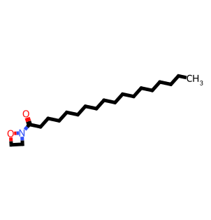 CCCCCCCCCCCCCCCCCC(=O)N1CCO1